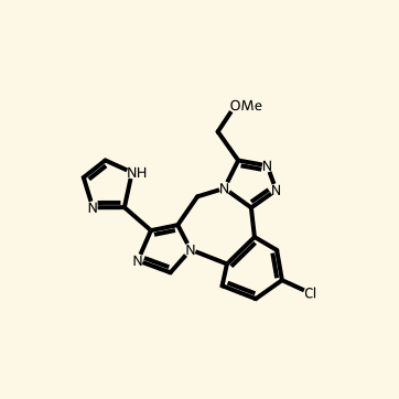 COCc1nnc2n1Cc1c(-c3ncc[nH]3)ncn1-c1ccc(Cl)cc1-2